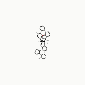 Cc1cccc(C)c1-c1ccccc1-c1cccc2c1C=C1[CH]2[Hf]([CH3])([CH3])[CH]2C(=Cc3c(-c4ccccc4-c4c(C)cccc4C)cccc32)[Si]1(C)C